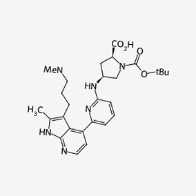 CNCCCc1c(C)[nH]c2nccc(-c3cccc(N[C@H]4C[C@@H](C(=O)O)N(C(=O)OC(C)(C)C)C4)n3)c12